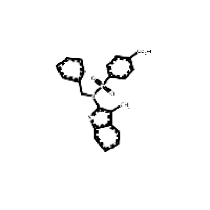 Cc1c(N(Cc2ccccc2)S(=O)(=O)c2ccc(C(=O)O)cc2)sc2ccccc12